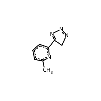 Cc1cccc(C2=NN=NC2)n1